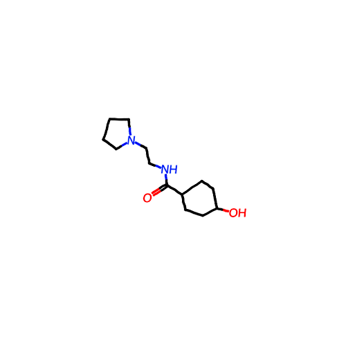 O=C(NCCN1CCCC1)C1CCC(O)CC1